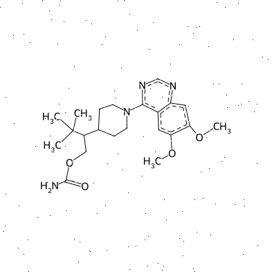 COc1cc2ncnc(N3CCC(C(COC(N)=O)C(C)(C)C)CC3)c2cc1OC